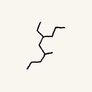 CCCC(C)CC(CC)CCC